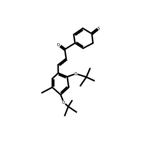 Cc1cc(C=CC(=O)C2=CCC(=S)C=C2)c(OC(C)(C)C)cc1OC(C)(C)C